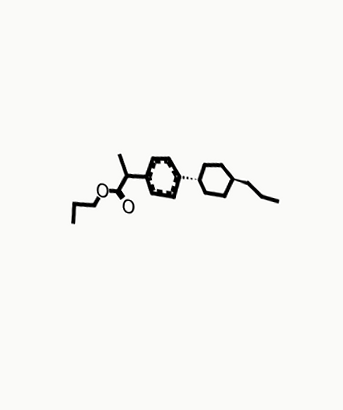 CCCOC(=O)C(C)c1ccc([C@H]2CC[C@H](CCC)CC2)cc1